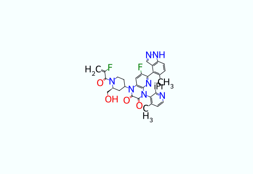 C=C(F)C(=O)N1CCC(n2c(=O)c(=O)n(-c3c(C)ccnc3C(C)C)c3nc(-c4c(C)ccc5[nH]ncc45)c(F)cc32)C[C@H]1CO